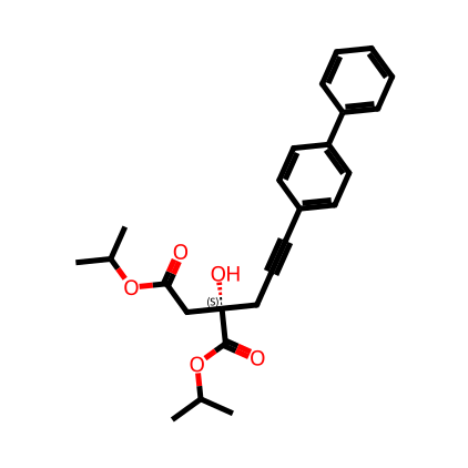 CC(C)OC(=O)C[C@@](O)(CC#Cc1ccc(-c2ccccc2)cc1)C(=O)OC(C)C